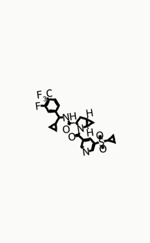 O=C(NC(c1ccc(C(F)(F)F)c(F)c1)C1CC1)[C@H]1C[C@H]2C[C@H]2N1C(=O)c1cncc(S(=O)(=O)C2CC2)c1